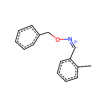 Cc1ccccc1/[C]=N\OCc1ccccc1